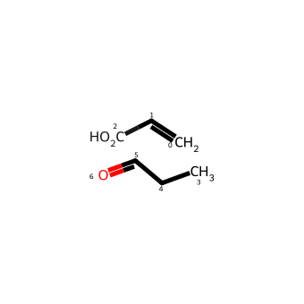 C=CC(=O)O.CCC=O